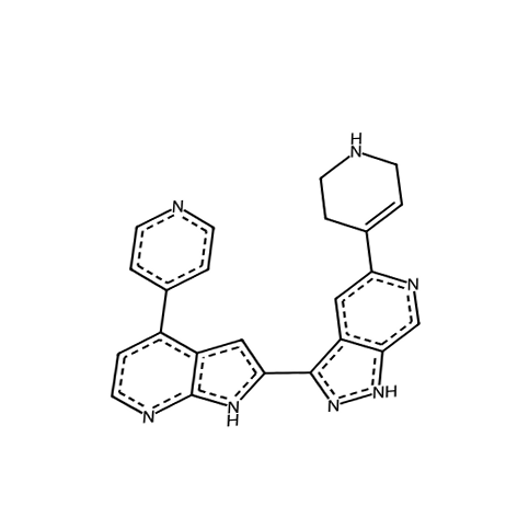 C1=C(c2cc3c(-c4cc5c(-c6ccncc6)ccnc5[nH]4)n[nH]c3cn2)CCNC1